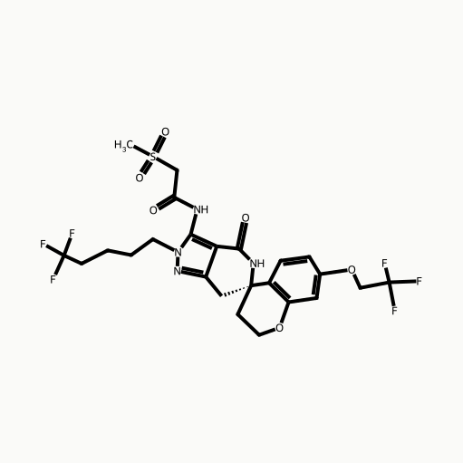 CS(=O)(=O)CC(=O)Nc1c2c(nn1CCCCC(F)(F)F)C[C@]1(CCOc3cc(OCC(F)(F)F)ccc31)NC2=O